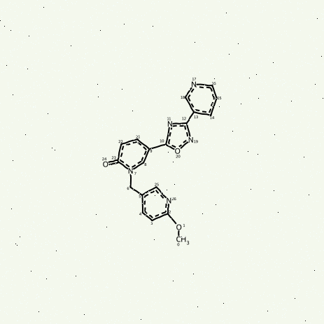 COc1ccc(Cn2cc(-c3nc(-c4cccnc4)no3)ccc2=O)cn1